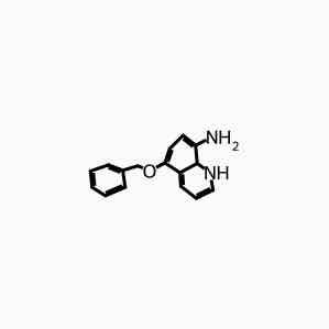 NC1=CC=C(OCc2ccccc2)C2=CC=CNC12